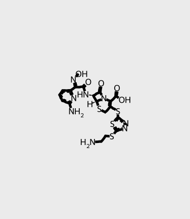 NCCSc1nnc(SC2=C(C(=O)O)N3C(=O)[C@@H](NC(=O)/C(=N\O)c4cccc(N)n4)[C@@H]3SC2)s1